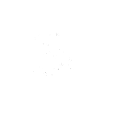 Cc1ccc(-c2nc3ccc(C(=O)N(CCC(C)C)CCC(C)C)nc3n2CCCN2CCCCC2)cc1